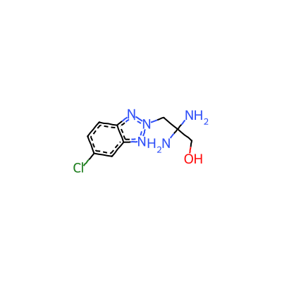 NC(N)(CO)Cn1nc2ccc(Cl)cc2n1